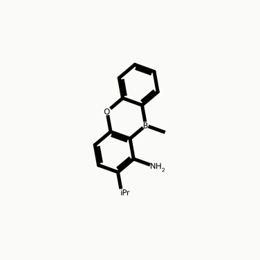 CB1c2ccccc2Oc2ccc(C(C)C)c(N)c21